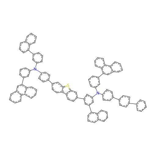 c1ccc(-c2ccc(-c3ccc(N(c4cc(-c5ccc6c(c5)sc5cc(-c7ccc(N(c8cccc(-c9cccc%10ccccc9%10)c8)c8cccc(-c9cc%10ccccc%10c%10ccccc9%10)c8)cc7)ccc56)cc(-c5cccc6ccccc56)c4)c4cccc(-c5cc6ccccc6c6ccccc56)c4)cc3)cc2)cc1